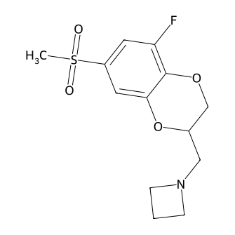 CS(=O)(=O)c1cc(F)c2c(c1)OC(CN1CCC1)CO2